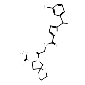 COC(=O)[C@@H]1CC2(CN1C(=O)CNC(=O)c1ccc(C(C)c3cccc(F)c3)s1)OCCO2